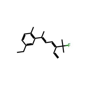 C=C/C(=C\C=C(/C)c1cc(CC)ccc1C)C(C)(C)F